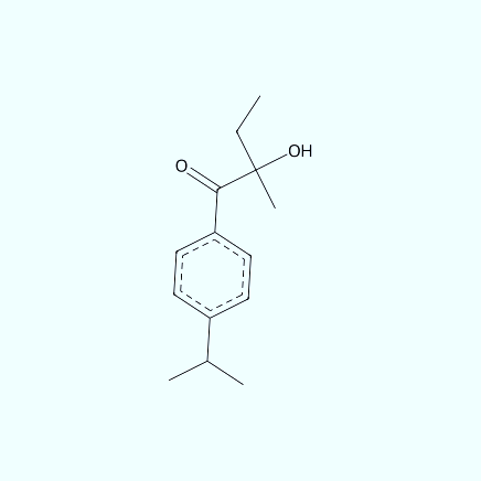 CCC(C)(O)C(=O)c1ccc(C(C)C)cc1